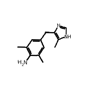 Cc1cc(Cc2nc[nH]c2C)cc(C)c1N